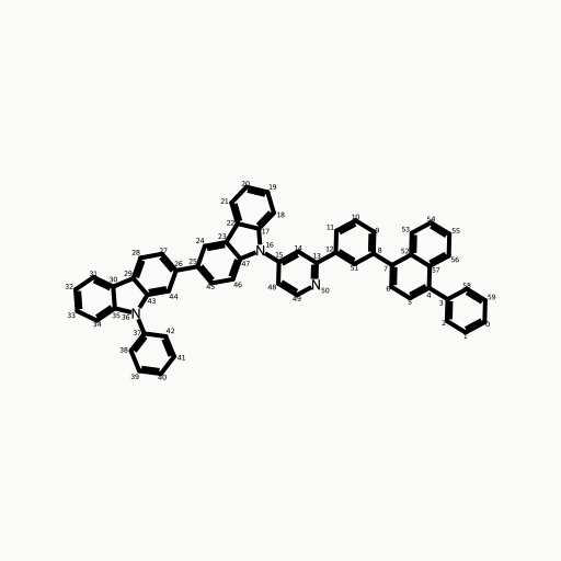 c1ccc(-c2ccc(-c3cccc(-c4cc(-n5c6ccccc6c6cc(-c7ccc8c9ccccc9n(-c9ccccc9)c8c7)ccc65)ccn4)c3)c3ccccc23)cc1